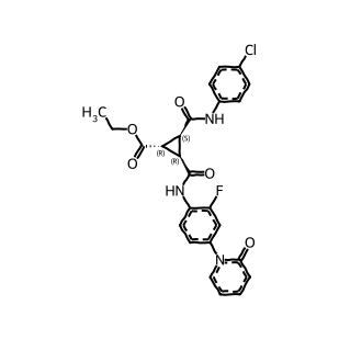 CCOC(=O)[C@H]1[C@H](C(=O)Nc2ccc(-n3ccccc3=O)cc2F)[C@@H]1C(=O)Nc1ccc(Cl)cc1